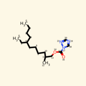 CCCCC(CC)CCCCC(C)COC(=O)n1cncn1